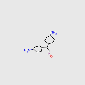 NC1CCC(C(CP=O)C2CCC(N)CC2)CC1